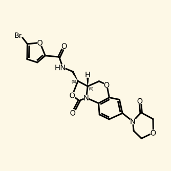 O=C(NC[C@@H]1OC(=O)N2c3ccc(N4CCOCC4=O)cc3OC[C@@H]12)c1ccc(Br)o1